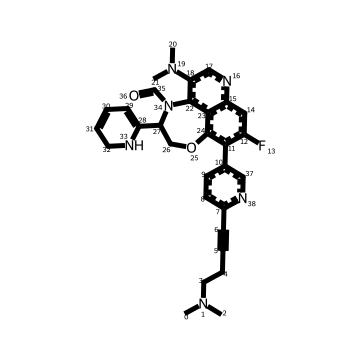 CN(C)CCC#Cc1ccc(-c2c(F)cc3ncc(N(C)C)c4c3c2OCC(C2=CC=CCN2)N4C=O)cn1